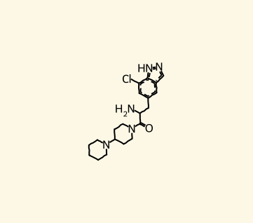 NC(Cc1cc(Cl)c2[nH]ncc2c1)C(=O)N1CCC(N2CCCCC2)CC1